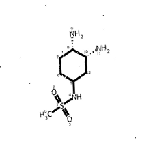 CS(=O)(=O)NC1CC[C@H](N)[C@H](N)C1